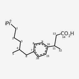 CC(C)CCCC(C)Cc1ccc(C(C)CC(=O)O)cc1